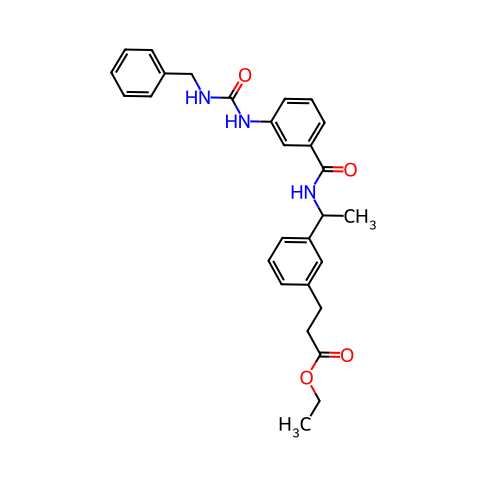 CCOC(=O)CCc1cccc(C(C)NC(=O)c2cccc(NC(=O)NCc3ccccc3)c2)c1